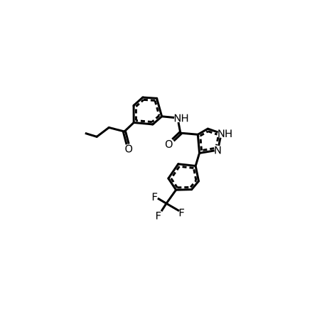 CCCC(=O)c1cccc(NC(=O)c2c[nH]nc2-c2ccc(C(F)(F)F)cc2)c1